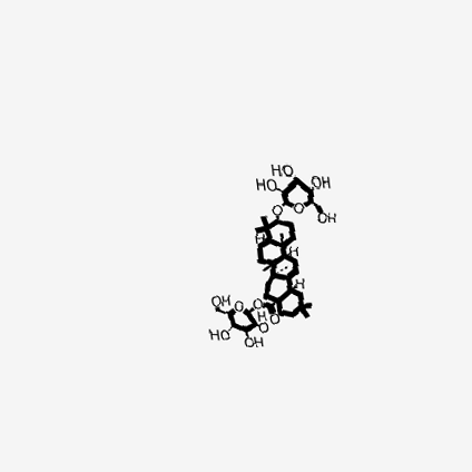 CC1(C)CC[C@]2(C(=O)O[C@@H]3O[C@H](CO)[C@@H](O)[C@H](O)[C@H]3O)CC[C@]3(C)C(=CC[C@@H]4[C@@]5(C)CC[C@H](O[C@@H]6O[C@H](CO)[C@@H](O)[C@H](O)[C@H]6O)C(C)(C)[C@@H]5CC[C@]43C)[C@@H]2C1